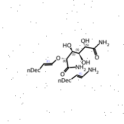 CCCCCCCCCC/C=C/N.CCCCCCCCCC/C=C/O[C@@H](C(N)=O)[C@@H](O)[C@H](O)[C@H](O)C(N)=O